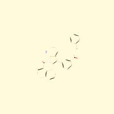 CCOC1=C(C(=O)N2C=C(c3cccc(C(=O)OCc4ccccc4)c3)C3=CCCNC32)C2=C(C=CCC2)CC1